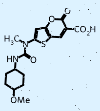 COC1CCC(NC(=O)N(C)c2cc3oc(=O)c(C(=O)O)cc3s2)CC1